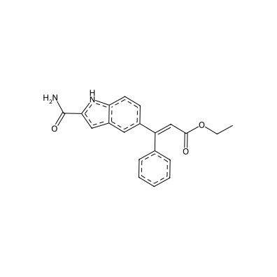 CCOC(=O)/C=C(\c1ccccc1)c1ccc2[nH]c(C(N)=O)cc2c1